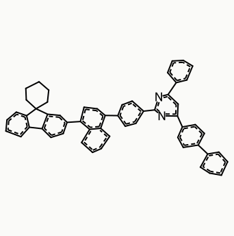 c1ccc(-c2ccc(-c3cc(-c4ccccc4)nc(-c4ccc(-c5ccc(-c6ccc7c(c6)C6(CCCCC6)c6ccccc6-7)c6ccccc56)cc4)n3)cc2)cc1